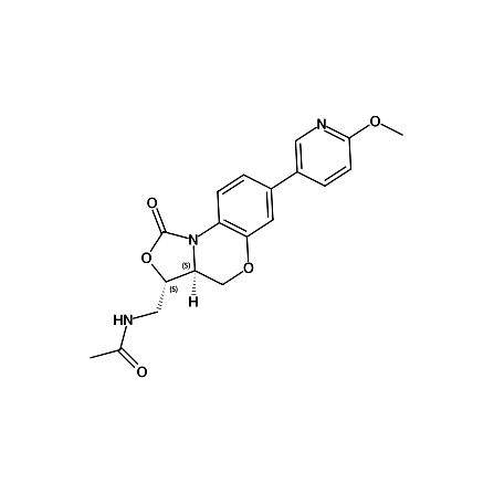 COc1ccc(-c2ccc3c(c2)OC[C@H]2[C@H](CNC(C)=O)OC(=O)N32)cn1